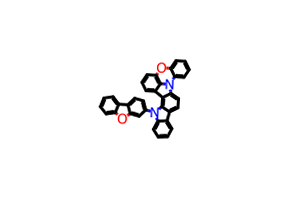 c1ccc2c(c1)Oc1cccc3c4c(ccc5c6ccccc6n(-c6ccc7c(c6)oc6ccccc67)c54)n-2c13